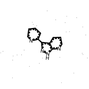 c1ccc(-c2n[nH]c3ncccc23)nc1